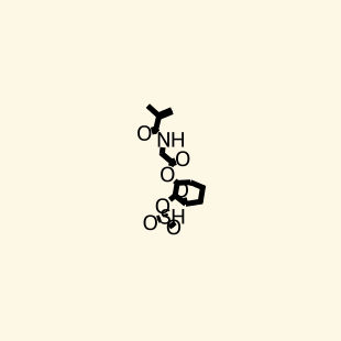 C=C(C)C(=O)NCC(=O)OC1C2CCC(O2)C1O[SH](=O)=O